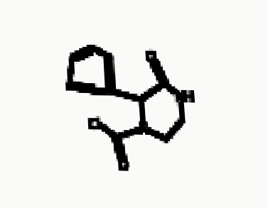 O=C1NCCN(C(=O)Cl)C1c1ccccc1